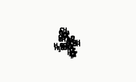 COc1ccc(COC(CC(O)C(Cc2ccccc2)NC(=O)OC(C)(C)C)C(=O)O)cc1OC